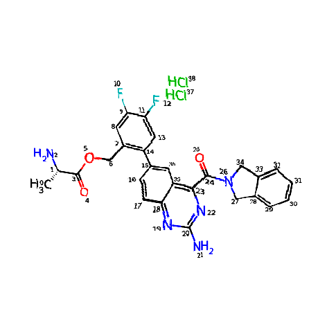 C[C@H](N)C(=O)OCc1cc(F)c(F)cc1-c1ccc2nc(N)nc(C(=O)N3Cc4ccccc4C3)c2c1.Cl.Cl